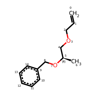 C=CCOC[C@@H](C)OCc1ccccc1